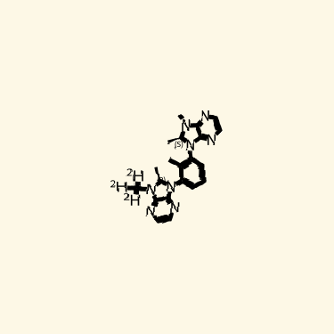 [2H]C([2H])([2H])N1c2nccnc2N(c2cccc(N3c4nccnc4N(C)[C@@H]3C)c2C)[C@@H]1C